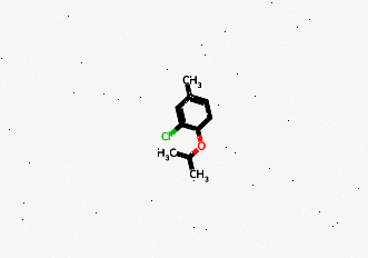 CC1=CCC(OC(C)C)C(Cl)=C1